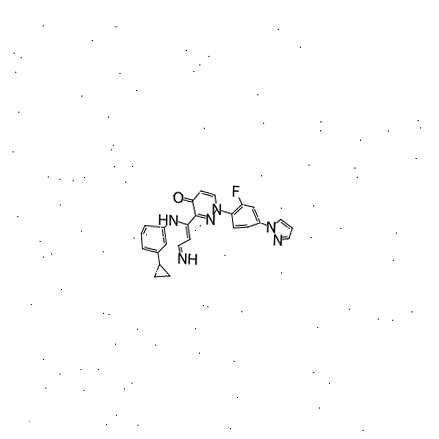 N=C/C=C(\Nc1cccc(C2CC2)c1)c1nn(-c2ccc(-n3cccn3)cc2F)ccc1=O